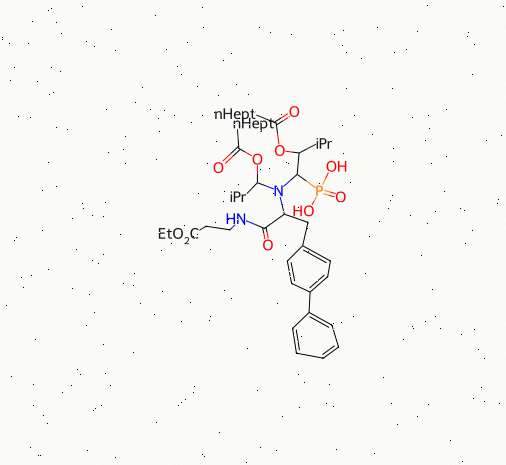 CCCCCCCC(=O)OC(C(C)C)C(N(C(Cc1ccc(-c2ccccc2)cc1)C(=O)NCCC(=O)OCC)C(OC(=O)CCCCCCC)C(C)C)P(=O)(O)O